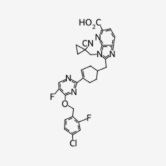 N#CC1(Cn2c(CC3CC=C(c4ncc(F)c(OCc5ccc(Cl)cc5F)n4)CC3)nc3ccc(C(=O)O)nc32)CC1